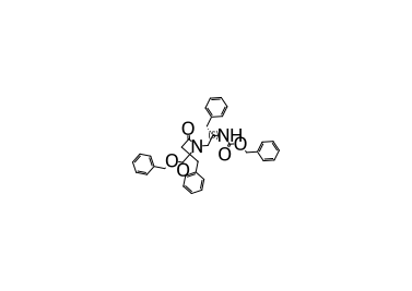 O=C(N[C@@H](Cc1ccccc1)CN1C(=O)CC1(Cc1ccccc1)C(=O)OCc1ccccc1)OCc1ccccc1